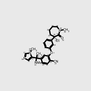 CC[C@]1(c2cccc(Oc3cc(C(C)(NC)c4cncn4C)ccc3C#N)c2)CCCCN(C)C1=O